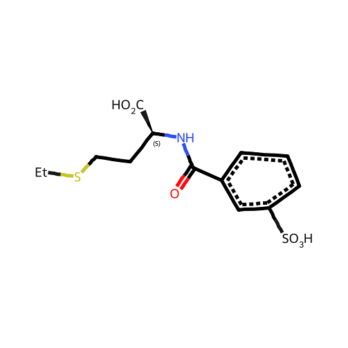 CCSCC[C@H](NC(=O)c1cccc(S(=O)(=O)O)c1)C(=O)O